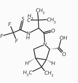 CC(C)(C)C(NC(=S)C(F)(F)F)C(=O)N1C[C@H]2[C@@H]([C@H]1C(=O)O)C2(C)C